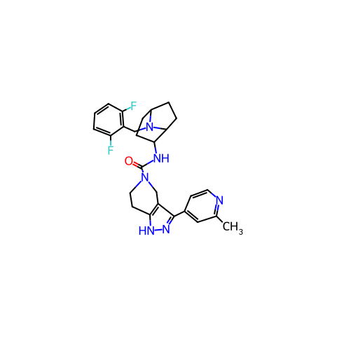 Cc1cc(-c2n[nH]c3c2CN(C(=O)NC2CCC4CCC2N4Cc2c(F)cccc2F)CC3)ccn1